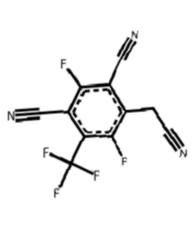 N#CCc1c(F)c(C(F)(F)F)c(C#N)c(F)c1C#N